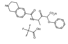 CC(NC(=O)c1ccc2c(c1)CCNC2)C(=O)C(Oc1ccccc1)C(=O)O.O=C(O)C(F)(F)F